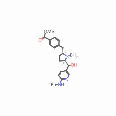 BN1[C@H](Cc2ccc(C(=O)OC)cc2)CC[C@@H]1C(O)c1ccc(NC(C)(C)C)nc1